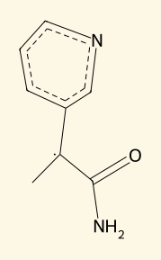 C[C](C(N)=O)c1cccnc1